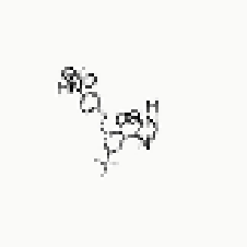 CC(C)(C)c1cc(CCc2ccc(NS(C)(=O)=O)cc2)c(O)c(-c2ncc[nH]c2=O)c1